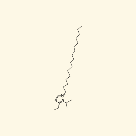 CCCCCCCCCCCCCCCCC[n+]1ccn(CC)c1C(C)C